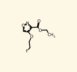 CCOC(=O)c1nocc1OCCF